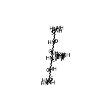 N=C1NC2CSC(CCCCC(=O)NCCCCCC(=O)NCCNC(=O)CCCCCNC(=O)CCCCC3SCC4NC(=N)NC43)C2N1.O=C(O)C(F)(F)F.O=C(O)C(F)(F)F